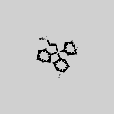 CCCCCCCC=C[P+](c1ccccc1)(c1ccccc1)c1ccccc1.[I-]